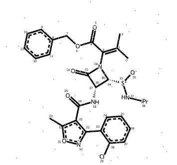 CC(C)=C(C(=O)OCc1ccccc1)N1C(=O)[C@@H](NC(=O)c2c(-c3ccccc3Cl)noc2C)[C@H]1[S+]([O-])NC(C)C